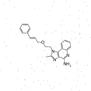 Cc1nc2c(N)nc3ccccc3c2n1CCOCC=Cc1ccccc1